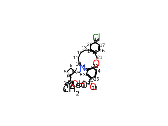 C=C[C@H](O)[C@@H]1CC[C@H]1CN1CCCCC2=C(C=CC(Cl)C2)COc2ccc(C(=O)OC)cc21